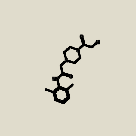 Cc1cccc(C)c1NC(=O)CN1CCN(C(=O)CCl)CC1